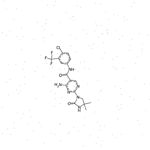 CC1(C)CN(c2ncc(C(=O)Nc3ccc(Cl)c(C(F)(F)F)c3)c(N)n2)C(=O)N1